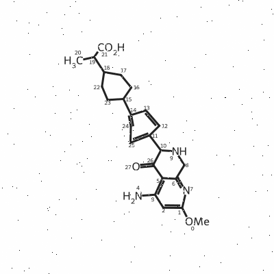 COc1cc(N)c2c(n1)CNC(c1ccc(C3CCC(C(C)C(=O)O)CC3)cc1)C2=O